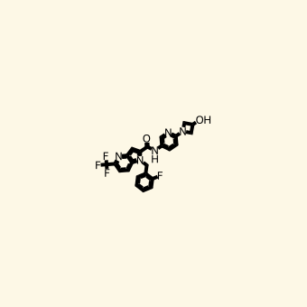 O=C(Nc1ccc(N2CC(O)C2)nc1)c1cc2nc(C(F)(F)F)ccc2n1Cc1ccccc1F